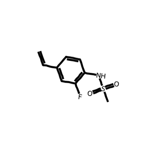 C=Cc1ccc(NS(C)(=O)=O)c(F)c1